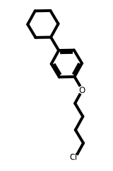 ClCCCCOc1ccc(C2CCCCC2)cc1